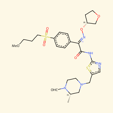 COCCCS(=O)(=O)c1ccc(/C(=N\O[C@@H]2CCOC2)C(=O)Nc2ncc(CN3CCN(C=O)[C@@H](C)C3)s2)cc1